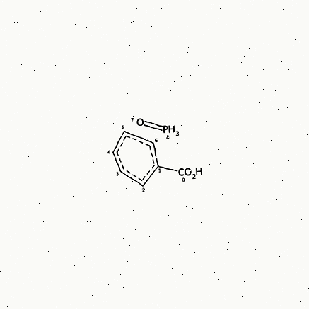 O=C(O)c1ccccc1.O=[PH3]